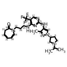 Cc1nn([C@H]2CCN(C(C)C)C2)cc1Nc1ncc(C(F)(F)F)c(NCCCN2C=CC=CCC2=O)n1